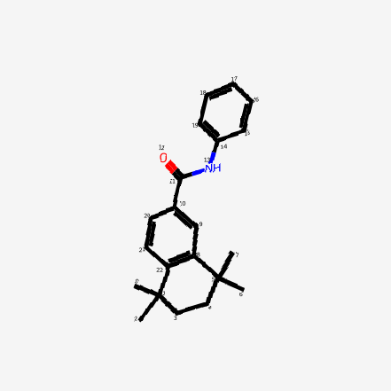 CC1(C)CCC(C)(C)c2cc(C(=O)Nc3[c]cccc3)ccc21